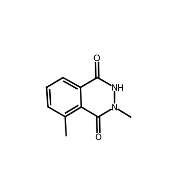 Cc1cccc2c(=O)[nH]n(C)c(=O)c12